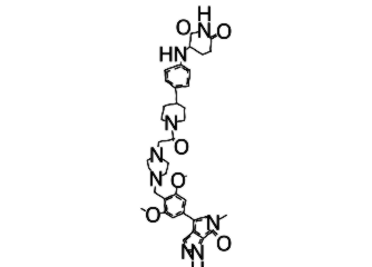 COc1cc(-c2cn(C)c(=O)c3[nH]ncc23)cc(OC)c1CN1CCN(CC(=O)N2CCC(c3ccc(NC4CCC(=O)NC4=O)cc3)CC2)CC1